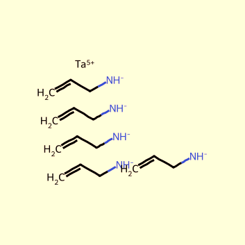 C=CC[NH-].C=CC[NH-].C=CC[NH-].C=CC[NH-].C=CC[NH-].[Ta+5]